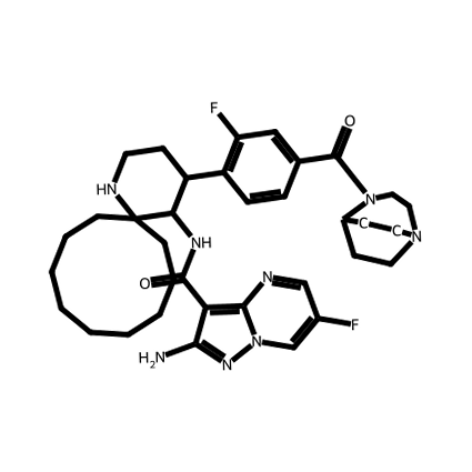 Nc1nn2cc(F)cnc2c1C(=O)NC1C(c2ccc(C(=O)N3CCN4CCC3CC4)cc2F)CCNC12CCCCCCCCC2